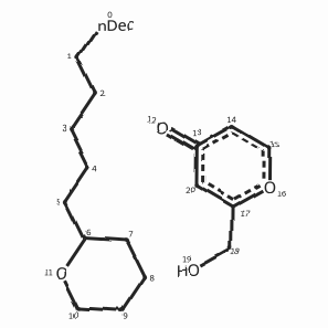 CCCCCCCCCCCCCCCC1CCCCO1.O=c1ccoc(CO)c1